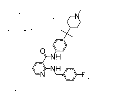 CN1CCC(C(C)(C)c2ccc(NC(=O)c3cccnc3NCc3ccc(F)cc3)cc2)CC1